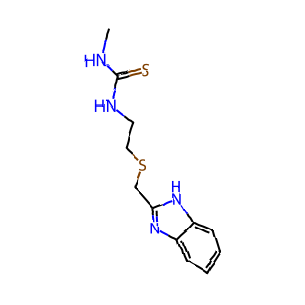 CNC(=S)NCCSCc1nc2ccccc2[nH]1